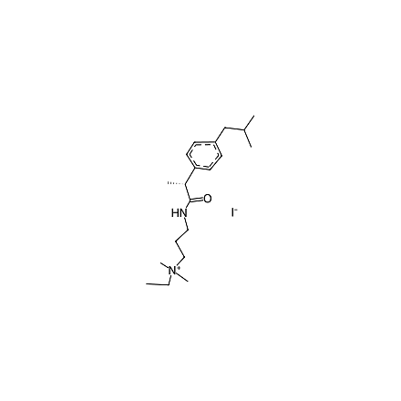 CC[N+](C)(C)CCCNC(=O)[C@H](C)c1ccc(CC(C)C)cc1.[I-]